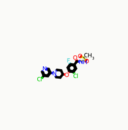 CS(=O)(=O)NC(=O)c1cc(Cl)c(OC2CCN(c3cncc(Cl)c3)CC2)cc1F